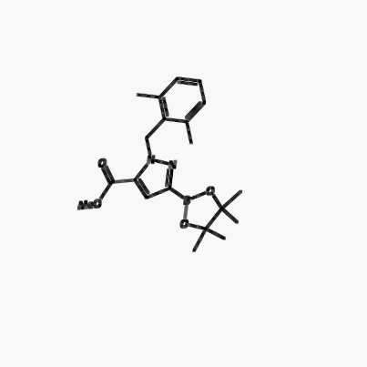 COC(=O)c1cc(B2OC(C)(C)C(C)(C)O2)nn1Cc1c(C)cccc1C